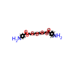 Nc1ccc(C(=O)OCCOCCOCCOCCOC(=O)c2ccc(N)cc2)cc1